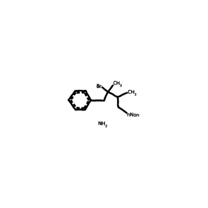 CCCCCCCCCCC(C)C(C)(Br)Cc1ccccc1.N